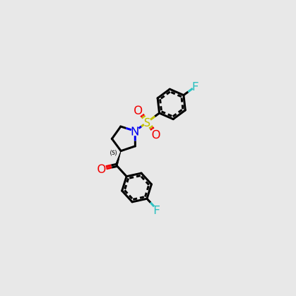 O=C(c1ccc(F)cc1)[C@H]1CCN(S(=O)(=O)c2ccc(F)cc2)C1